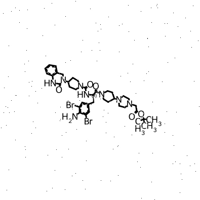 CC(C)(C)OC(=O)CN1CCN(C2CCN(C(=O)[C@@H](Cc3cc(Br)c(N)c(Br)c3)NC(=O)N3CCC(N4Cc5ccccc5NC4=O)CC3)CC2)CC1